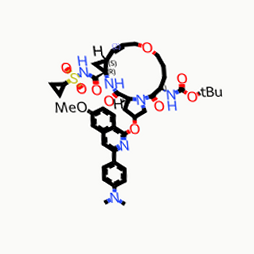 COc1ccc2c(OC3C[C@H]4C(=O)N[C@]5(C(=O)NS(=O)(=O)C6CC6)C[C@H]5/C=C\COCCC[C@H](NC(=O)OC(C)(C)C)C(=O)N4C3)nc(-c3ccc(N(C)C)cc3)cc2c1